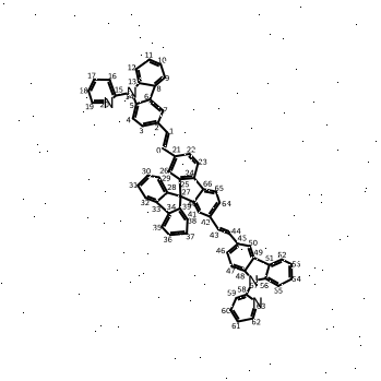 C(=C\c1ccc2c(c1)c1ccccc1n2-c1ccccn1)/c1ccc2c(c1)C1(c3ccccc3-c3ccccc31)c1cc(/C=C/c3ccc4c(c3)c3ccccc3n4-c3ccccn3)ccc1-2